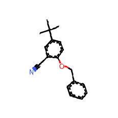 CC(C)(C)c1ccc(OCc2ccccc2)c(C#N)c1